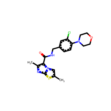 Cc1cn2c(C(=O)NCc3ccc(N4CCOCC4)c(Cl)c3)c(C)nc2s1